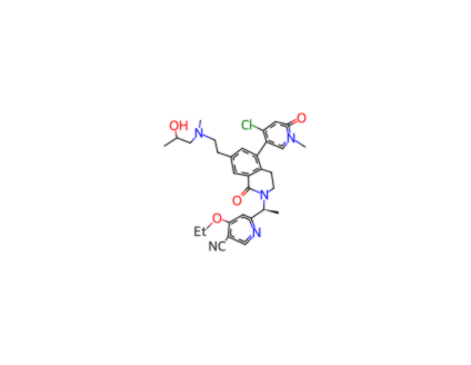 CCOc1cc([C@H](C)N2CCc3c(cc(CCN(C)CC(C)O)cc3-c3cn(C)c(=O)cc3Cl)C2=O)ncc1C#N